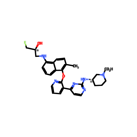 Cc1ccc2c(NC[C@H](O)CF)cccc2c1Oc1ncccc1-c1ccnc(N[C@H]2CCCN(C(=O)O)C2)n1